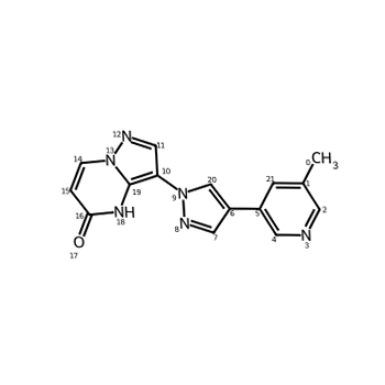 Cc1cncc(-c2cnn(-c3cnn4ccc(=O)[nH]c34)c2)c1